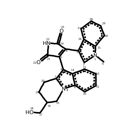 Cn1cc(C2=C(c3c4n(c5ccccc35)CC(CO)CC4)C(=O)NC2=O)c2ccccc21